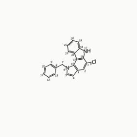 Clc1cc2ccn(Cc3ccccc3)c2c2c1[nH]c1ccccc12